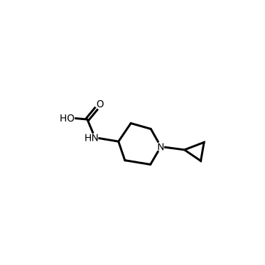 O=C(O)NC1CCN(C2CC2)CC1